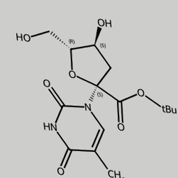 Cc1cn([C@@]2(C(=O)OC(C)(C)C)C[C@H](O)[C@@H](CO)O2)c(=O)[nH]c1=O